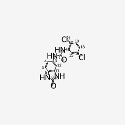 O=C(Nc1ccc2[nH]c(=O)[nH]c2c1)Nc1cc(Cl)ccc1Cl